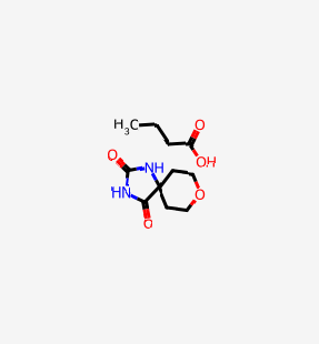 CCCC(=O)O.O=C1NC(=O)C2(CCOCC2)N1